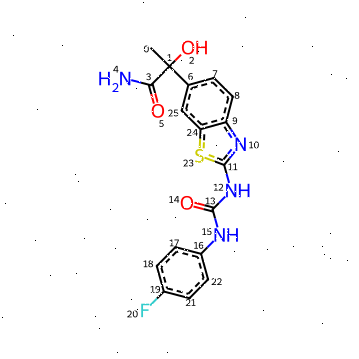 CC(O)(C(N)=O)c1ccc2nc(NC(=O)Nc3ccc(F)cc3)sc2c1